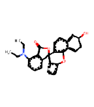 CCN(CC)c1cccc2c1C(=O)OC21c2ccccc2Oc2c1ccc1c2=CCC(O)C=1